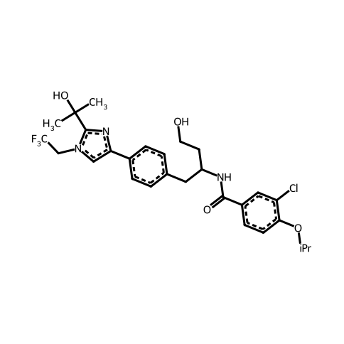 CC(C)Oc1ccc(C(=O)NC(CCO)Cc2ccc(-c3cn(CC(F)(F)F)c(C(C)(C)O)n3)cc2)cc1Cl